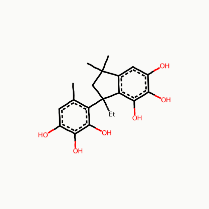 CCC1(c2c(C)cc(O)c(O)c2O)CC(C)(C)c2cc(O)c(O)c(O)c21